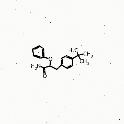 CC(C)(C)c1ccc(CC(Oc2ccccc2)C(N)=O)cc1